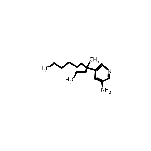 CCCCCCC(C)(CCC)c1cncc(N)c1